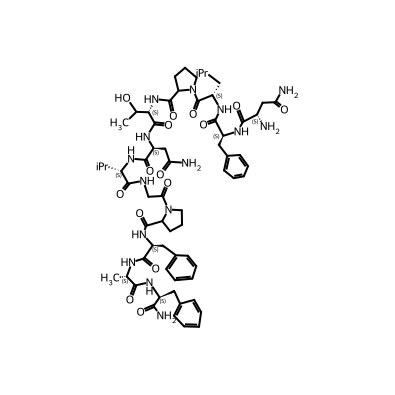 CC(C)C[C@H](NC(=O)[C@H](Cc1ccccc1)NC(=O)[C@@H](N)CC(N)=O)C(=O)N1CCCC1C(=O)N[C@H](C(=O)N[C@@H](CC(N)=O)C(=O)N[C@H](C(=O)NCC(=O)N1CCCC1C(=O)N[C@@H](Cc1ccccc1)C(=O)N[C@@H](C)C(=O)N[C@@H](Cc1ccccc1)C(N)=O)C(C)C)C(C)O